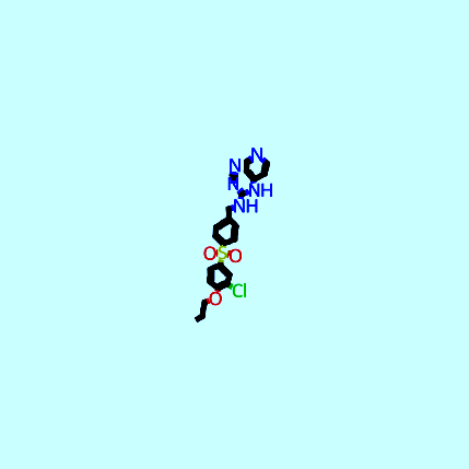 CCCOc1ccc(S(=O)(=O)c2ccc(CNC(=NC#N)Nc3ccncc3)cc2)cc1Cl